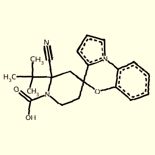 CC(C)(C)C1(C#N)CC2(CCN1C(=O)O)Oc1ccccc1-n1cccc12